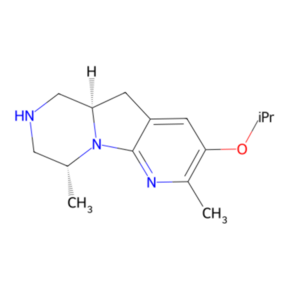 Cc1nc2c(cc1OC(C)C)C[C@@H]1CNC[C@@H](C)N21